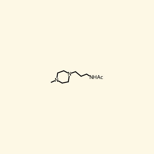 CC(=O)NCCCN1CCN(C)CC1